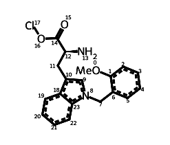 COc1ccccc1Cn1cc(C[C@H](N)C(=O)OCl)c2ccccc21